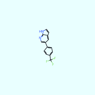 FC(F)(F)c1ccc(-c2cnc3[nH]ccc3c2)cc1